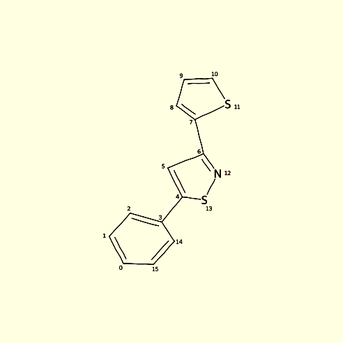 c1ccc(-c2cc(-c3cccs3)ns2)cc1